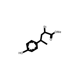 CCC(CC(C)c1ccc(O)cc1)C(=O)OC